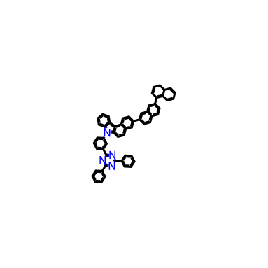 C1=CC2=C(c3ccc4ccc(-c5ccc6c(ccc7c6c6ccccc6n7-c6cccc(-c7nc(-c8ccccc8)nc(-c8ccccc8)n7)c6)c5)cc4c3)C=CCC2C=C1